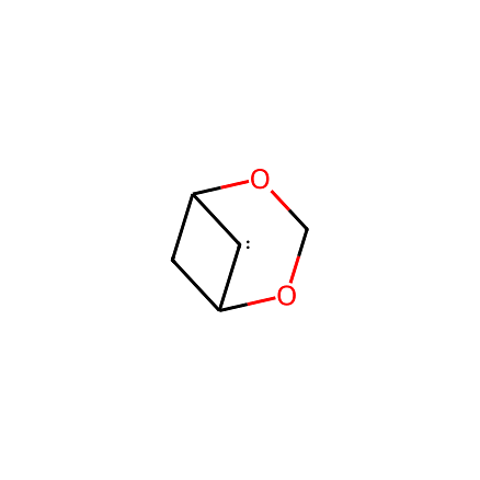 [C]1C2CC1OCO2